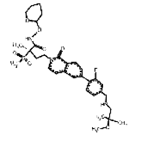 COC(C)(C)CNCc1ccc(-c2ccc3c(=O)n(CC[C@](C)(C(=O)NOC4CCCCO4)S(C)(=O)=O)ccc3c2)c(F)c1